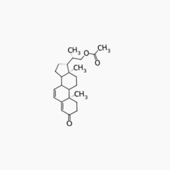 CC(=O)OC[C@@H](C)[C@H]1CCC2C3C=CC4=CC(=O)CC[C@]4(C)C3CC[C@@]21C